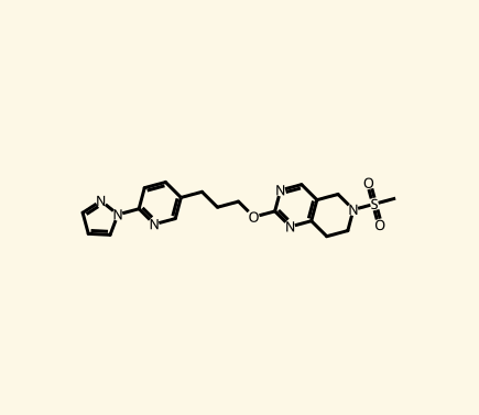 CS(=O)(=O)N1CCc2nc(OCCCc3ccc(-n4cccn4)nc3)ncc2C1